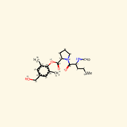 CSCCC(NC=O)C(=O)N1CCCC1C(=O)Oc1c(C)cc(CO)cc1C